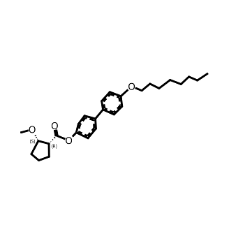 CCCCCCCCOc1ccc(-c2ccc(OC(=O)[C@@H]3CCC[C@@H]3OC)cc2)cc1